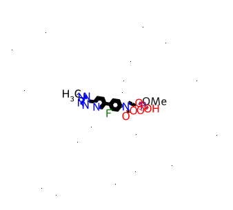 COP(=O)(O)O[C@@H]1CN(c2ccc(-c3ccc(-c4nnn(C)n4)nc3)c(F)c2)C(=O)O1